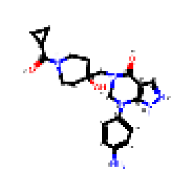 Nc1ccc(N2CN(CC3(O)CCN(C(=O)C4CC4)CC3)C(=O)c3cn[nH]c32)cc1